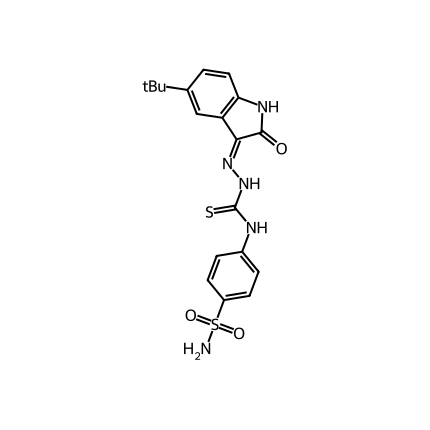 CC(C)(C)c1ccc2c(c1)C(=NNC(=S)Nc1ccc(S(N)(=O)=O)cc1)C(=O)N2